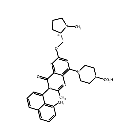 Cc1cccc2cccc(-n3c(C)nc4c(N5CCN(C(=O)O)CC5)nc(OC[C@@H]5CCCN5C)nc4c3=O)c12